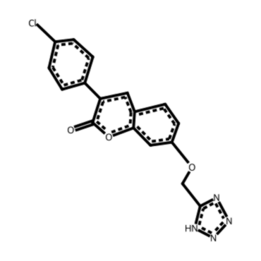 O=c1oc2cc(OCc3nnn[nH]3)ccc2cc1-c1ccc(Cl)cc1